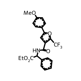 CCOC(=O)C(NC(=O)c1cc(-c2ccc(OC)cc2)oc1C(F)(F)F)c1ccccc1